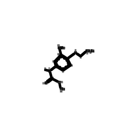 CCOC(=O)COc1ccc(N(C)C(=O)OC(C)(C)C)cc1OC